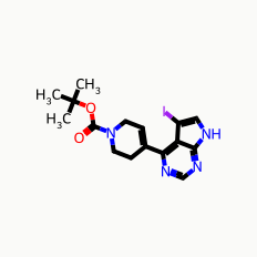 CC(C)(C)OC(=O)N1CC=C(c2ncnc3[nH]cc(I)c23)CC1